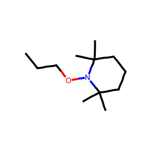 CCCON1C(C)(C)CCCC1(C)C